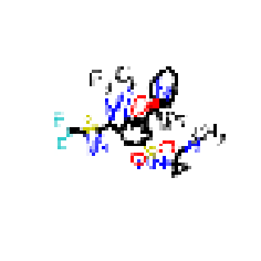 C/N=C/C1(NS(=O)(=O)c2cc(C3=CC4CCC(C3)N4C(=O)C(C)C)c3c(c2)c(-c2nnc(C(F)F)s2)nn3CC(F)(F)F)CC1